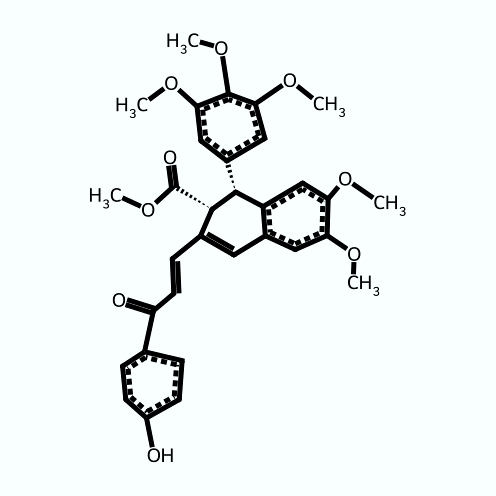 COC(=O)[C@H]1C(/C=C/C(=O)c2ccc(O)cc2)=Cc2cc(OC)c(OC)cc2[C@H]1c1cc(OC)c(OC)c(OC)c1